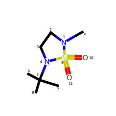 CN1CCN(C(C)(C)C)S1(=O)=O